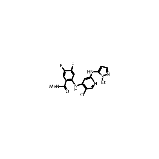 CCn1nccc1Nc1cc(Nc2cc(F)c(F)cc2C(=O)NC)c(Cl)cn1